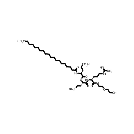 N=C(N)NCCC[C@H](NC(=O)[C@H](CCC(=O)O)OC(=O)[C@H](CCC(=O)O)NC(=O)CCCCCCCCCCCCCCCCCCC(=O)O)C(=O)NCCOCCO